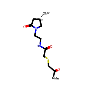 CNC(=O)CSCC(=O)NCCN1C[C@@H](OC)CC1=O